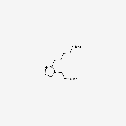 CCCCCCCCCCCC1=NCCN1CCOC